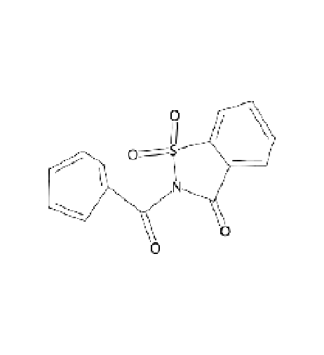 O=C(c1ccccc1)N1C(=O)c2ccccc2S1(=O)=O